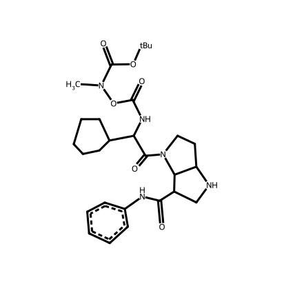 CN(OC(=O)NC(C(=O)N1CCC2NCC(C(=O)Nc3ccccc3)C21)C1CCCCC1)C(=O)OC(C)(C)C